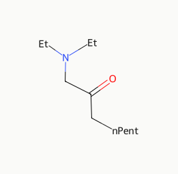 CCCCCCC(=O)CN(CC)CC